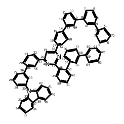 c1ccc(-c2cccc(-c3cccc(-c4ccc(-c5cc(-c6cccc(-c7cccc(-n8c9ccccc9c9ccccc98)c7)c6)nc(-c6ccccc6-c6cccc(-c7ccccc7)c6)n5)cc4)c3)c2)cc1